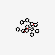 Cc1ccc(N2C(c3ccccc3)=C(c3ccccc3)N(c3ccc(C)cc3)[Si]2(c2cccc(-c3cccc(-c4ccccc4)c3)c2)c2cccc(-c3cccc(-c4ccccc4)c3)c2)cc1